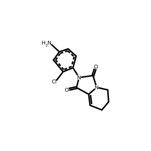 Nc1ccc(N2C(=O)C3=CCCCN3C2=O)c(Cl)c1